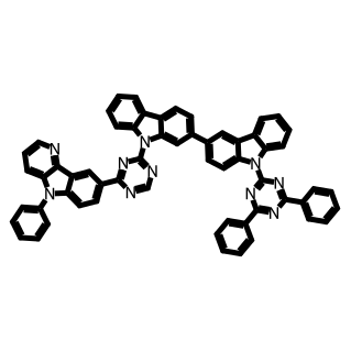 c1ccc(-c2nc(-c3ccccc3)nc(-n3c4ccccc4c4cc(-c5ccc6c7ccccc7n(-c7ncnc(-c8ccc9c(c8)c8ncccc8n9-c8ccccc8)n7)c6c5)ccc43)n2)cc1